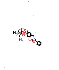 CC1(C)OB(c2ccc(CN3CC(c4ccccc4)OC3=O)cc2)OC1(C)C